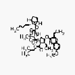 C=CCCC[C@@H]1[C@@H]2CC[C@@H](C2)[C@H]1OC(=O)N[C@H](C(=O)N1C[C@H](Oc2nc3cc(OC)ccc3nc2C=C)[C@@H](CC)[C@H]1C(=O)OCC(C)C)C(C)(C)C